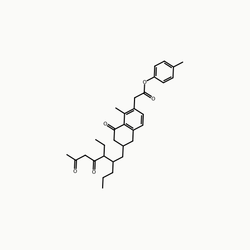 CCCC(CC1CC(=O)c2c(ccc(CC(=O)Oc3ccc(C)cc3)c2C)C1)C(CC)C(=O)CC(C)=O